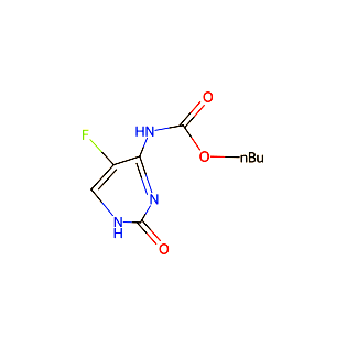 CCCCOC(=O)Nc1nc(=O)[nH]cc1F